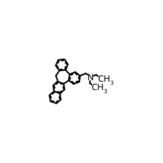 CCN(CC)Cc1ccc2c(c1)-c1ccccc1Cc1cc3ccccc3cc1-2